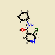 O=C(Nc1ccccc1)c1ccncc1Cl